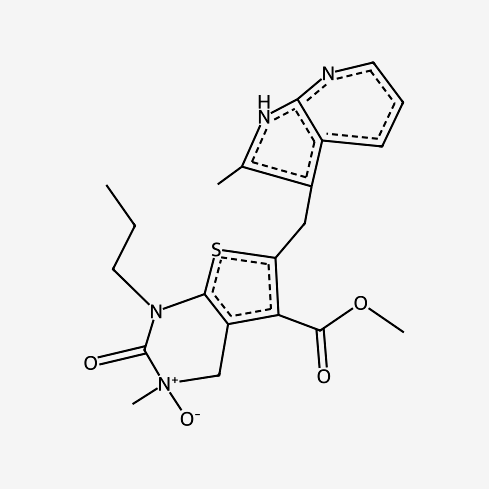 CCCN1C(=O)[N+](C)([O-])Cc2c1sc(Cc1c(C)[nH]c3ncccc13)c2C(=O)OC